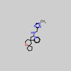 Cn1cnc(CNCCC2(c3ccccn3)CCOC3(CCCC3)C2)n1